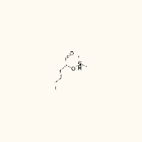 CCCCC(C=O)O[SiH](C)C